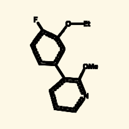 CCOc1cc(-c2cccnc2OC)ccc1F